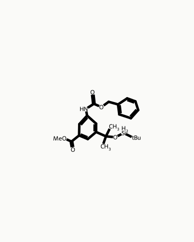 COC(=O)c1cc(NC(=O)OCc2ccccc2)cc(C(C)(C)O[SiH2]C(C)(C)C)c1